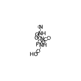 CN1CCCC1CCNC(=O)c1cn2c3c(c(NCCc4ccc(O)cc4)c(F)cc3c1=O)Oc1cc3ccccc3cc1-2